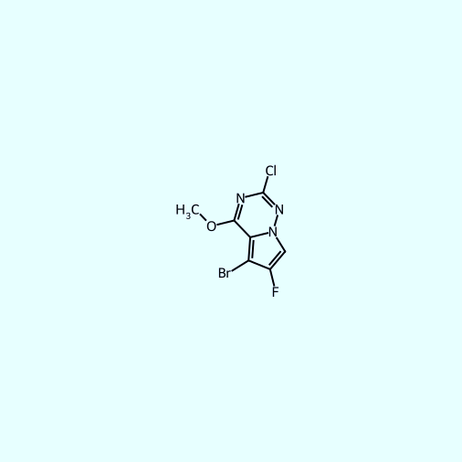 COc1nc(Cl)nn2cc(F)c(Br)c12